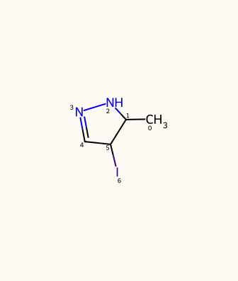 CC1NN=CC1I